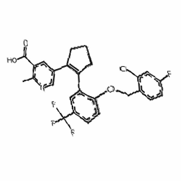 Cc1ncc(C2=C(c3cc(C(F)(F)F)ccc3OCc3ccc(F)cc3Cl)CCC2)cc1C(=O)O